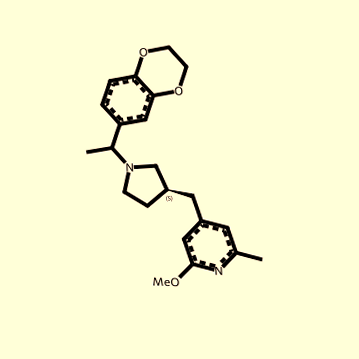 COc1cc(C[C@H]2CCN(C(C)c3ccc4c(c3)OCCO4)C2)cc(C)n1